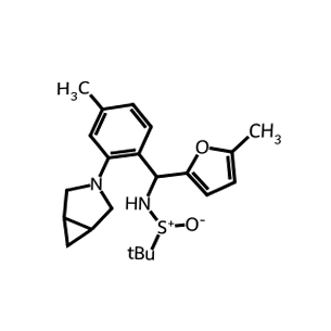 Cc1ccc(C(N[S+]([O-])C(C)(C)C)c2ccc(C)o2)c(N2CC3CC3C2)c1